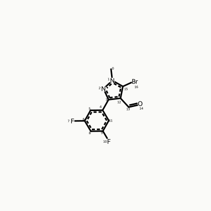 Cn1nc(-c2cc(F)cc(F)c2)c(C=O)c1Br